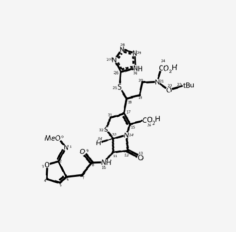 CON=C1OCC=C1CC(=O)NC1C(=O)N2C(C(=O)O)=C(C(CCN(OC(C)(C)C)C(=O)O)Sc3nnn[nH]3)CS[C@@H]12